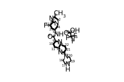 Cc1cn2cc(NC(=O)c3ccc4nc(N5CCNCC5)ccc4n3)cc(F)c2n1.O=C(O)C(F)(F)F